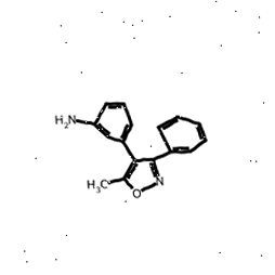 Cc1onc(-c2ccccc2)c1-c1cccc(N)c1